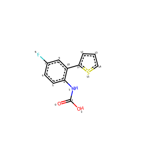 O=C(O)Nc1ccc(F)cc1-c1cccs1